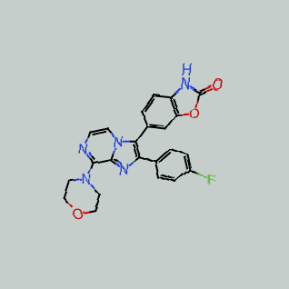 O=c1[nH]c2ccc(-c3c(-c4ccc(F)cc4)nc4c(N5CCOCC5)nccn34)cc2o1